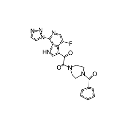 O=C(C(=O)N1CCN(C(=O)c2ccccc2)CC1)c1c[nH]c2c(-n3ccnn3)ncc(F)c12